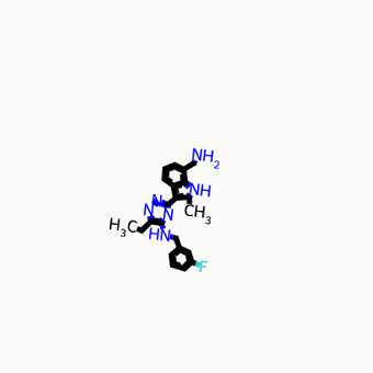 CCc1nnc(-c2c(C)[nH]c3c(CN)cccc23)nc1NCc1cccc(F)c1